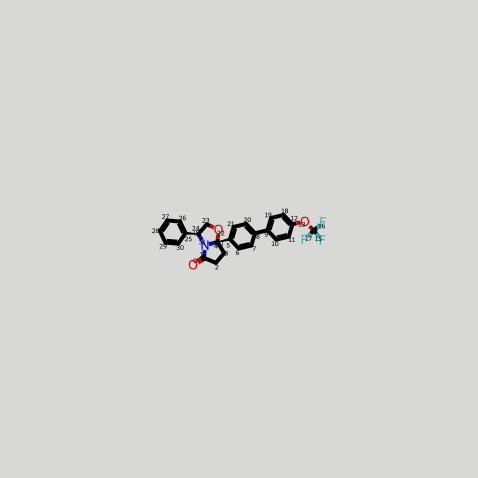 O=C1CC[C@@]2(c3ccc(-c4ccc(OC(F)(F)F)cc4)cc3)OC[C@H](c3ccccc3)N12